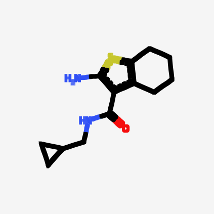 Nc1sc2c(c1C(=O)NCC1CC1)CCCC2